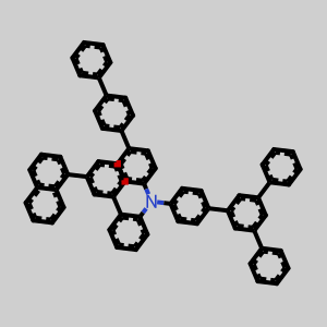 c1ccc(-c2ccc(-c3ccc(N(c4ccc(-c5cc(-c6ccccc6)cc(-c6ccccc6)c5)cc4)c4ccccc4-c4cccc(-c5cccc6ccccc56)c4)cc3)cc2)cc1